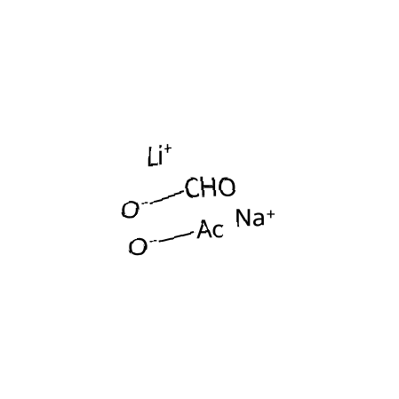 CC(=O)[O-].O=C[O-].[Li+].[Na+]